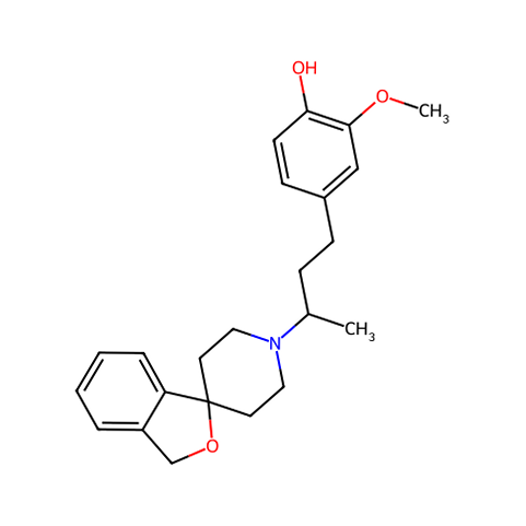 COc1cc(CCC(C)N2CCC3(CC2)OCc2ccccc23)ccc1O